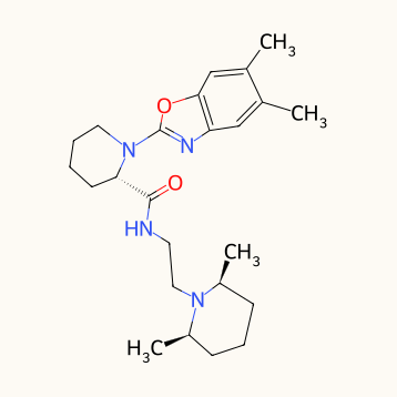 Cc1cc2nc(N3CCCC[C@H]3C(=O)NCCN3[C@H](C)CCC[C@@H]3C)oc2cc1C